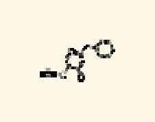 CCCCOc1coc(Cc2ccccc2)cc1=O